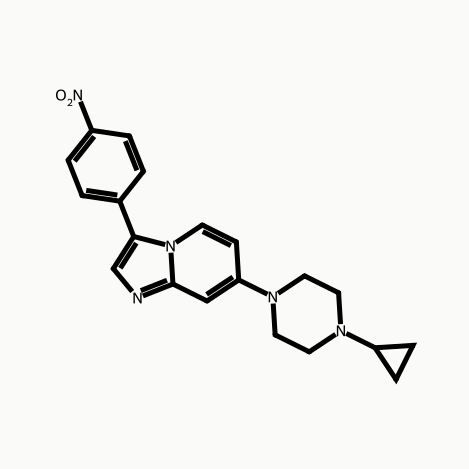 O=[N+]([O-])c1ccc(-c2cnc3cc(N4CCN(C5CC5)CC4)ccn23)cc1